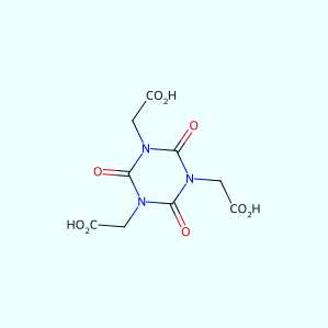 O=C(O)Cn1c(=O)n(CC(=O)O)c(=O)n(CC(=O)O)c1=O